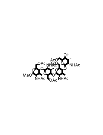 CO[C@H]1OC(COC(C)=O)[C@H](OC2OC(COC(C)=O)C(O[C@H]3OC(COC(C)=O)[C@H](OC4OC(COC(C)=O)C(O)[C@H](C)[C@@H]4NC(C)=O)C(C)[C@H]3NC(C)=O)[C@H](C)[C@@H]2NC(C)=O)C(C)[C@H]1NC(C)=O